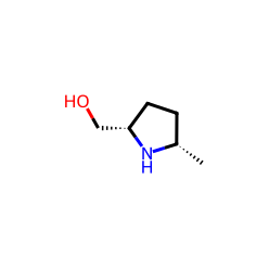 C[C@H]1CC[C@@H](CO)N1